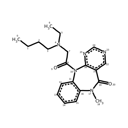 CCCCN(CC)CC(=O)N1c2ccccc2N(C)C(=O)c2cncnc21